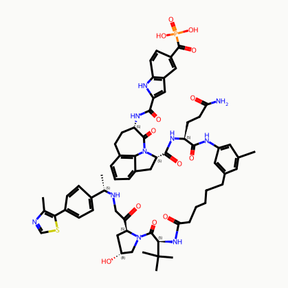 Cc1cc(CCCCCC(=O)N[C@H](C(=O)N2C[C@H](O)C[C@H]2C(=O)CN[C@@H](C)c2ccc(-c3scnc3C)cc2)C(C)(C)C)cc(NC(=O)[C@H](CCC(N)=O)NC(=O)[C@@H]2Cc3cccc4c3N2C(=O)[C@@H](NC(=O)c2cc3cc(C(=O)P(=O)(O)O)ccc3[nH]2)CC4)c1